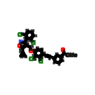 COC(=O)c1cccc(C#Cc2ccc(OCc3c(-c4c(Cl)cccc4Cl)noc3C3CC3)c(Cl)c2Cl)c1